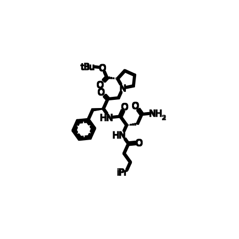 CC(C)CCC(=O)N[C@@H](CC(N)=O)C(=O)N[C@@H](Cc1ccccc1)C(=O)CN1CCC[C@H]1C(=O)OC(C)(C)C